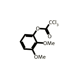 COc1cccc(OC(=O)C(Cl)(Cl)Cl)c1OC